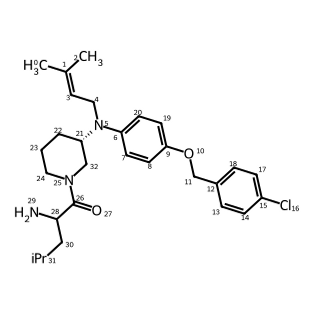 CC(C)=CCN(c1ccc(OCc2ccc(Cl)cc2)cc1)[C@H]1CCCN(C(=O)C(N)CC(C)C)C1